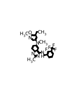 CCc1cc(N(C)c2ccc3nc(C)nc(NCc4cccc(C(F)(F)F)c4F)c3c2)cnc1OC